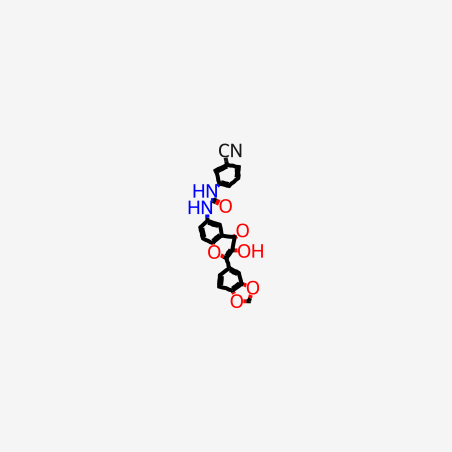 N#Cc1cccc(NC(=O)Nc2ccc3oc(-c4ccc5c(c4)OCO5)c(O)c(=O)c3c2)c1